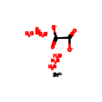 O.O.O.O.O.O.O=C([O-])C(=O)[O-].[Zn+2]